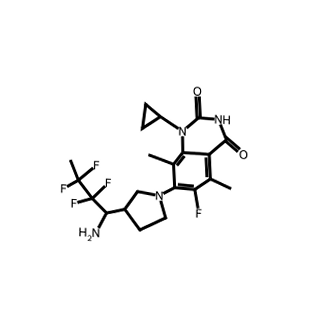 Cc1c(F)c(N2CCC(C(N)C(F)(F)C(C)(F)F)C2)c(C)c2c1c(=O)[nH]c(=O)n2C1CC1